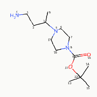 CC(CCN)N1CCN(C(=O)OC(C)(C)C)CC1